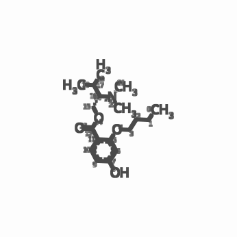 CCCCOc1cc(O)ccc1C(=O)OC[C@H](C(C)C)N(C)C